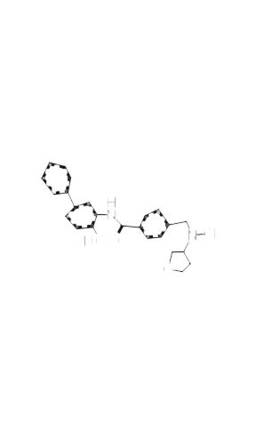 CN(Cc1ccc(C(=O)Nc2cc(-c3ccccc3)ccc2O)cc1)C1CCOC1